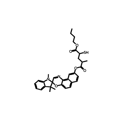 CCCCOC(=O)C(S)CC(C)C(=O)Oc1ccc2ccc3c(c2c1)N=CC1(O3)N(C)c2ccccc2C1(C)C